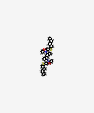 C1=CC2c3ccc4ccccc4c3C=CC2c2c1sc1cc3c(cc21)Oc1ccccc1N3c1cc2c3ccccc3c(N3c4ccccc4Oc4cc5c(cc43)sc3ccc4c6ccc7ccccc7c6ccc4c35)cc2c2ccccc12